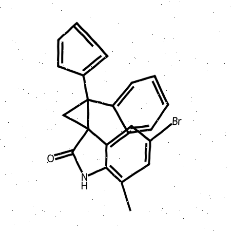 Cc1cc(Br)cc2c1NC(=O)C21CC1(c1ccccc1)c1ccccc1